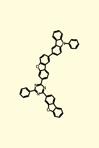 c1ccc(-c2nc(-c3ccc4c(c3)oc3ccccc34)nc(-c3ccc4c(c3)oc3ccc(-c5ccc6c(c5)c5ccccc5n6-c5ccccc5)cc34)n2)cc1